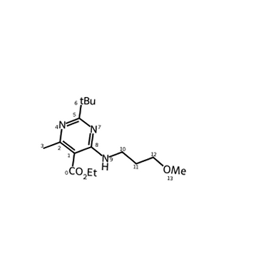 CCOC(=O)c1c(C)nc(C(C)(C)C)nc1NCCCOC